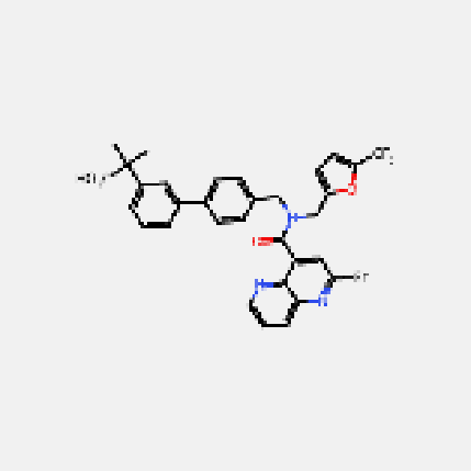 CCc1cc(C(=O)N(Cc2ccc(-c3cccc(C(C)(C)C(=O)O)c3)cc2)Cc2ccc(C(F)(F)F)o2)c2ncccc2n1